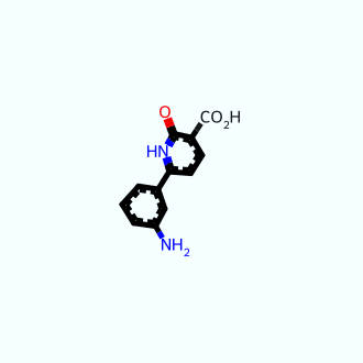 Nc1cccc(-c2ccc(C(=O)O)c(=O)[nH]2)c1